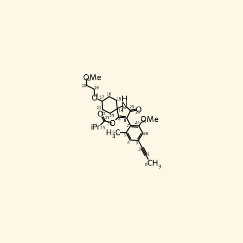 CC#Cc1cc(C)c(C2=C(OC(=O)C(C)C)C3(CCC(OCCOC)CC3)NC2=O)c(OC)c1